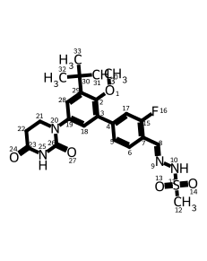 COc1c(-c2ccc(C=NNS(C)(=O)=O)c(F)c2)cc(N2CCC(=O)NC2=O)cc1C(C)(C)C